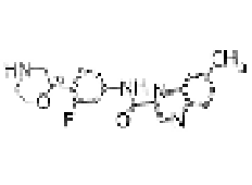 Cc1ccc2ncc(C(=O)Nc3ccc([C@H]4CNCCO4)c(F)c3)nc2c1